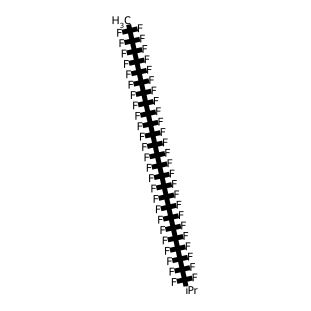 CC(C)C(F)(F)C(F)(F)C(F)(F)C(F)(F)C(F)(F)C(F)(F)C(F)(F)C(F)(F)C(F)(F)C(F)(F)C(F)(F)C(F)(F)C(F)(F)C(F)(F)C(F)(F)C(F)(F)C(F)(F)C(F)(F)C(F)(F)C(F)(F)C(F)(F)C(F)(F)C(F)(F)C(F)(F)C(C)(F)F